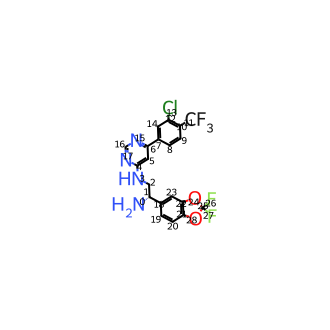 N[C@H](CNc1cc(-c2ccc(C(F)(F)F)c(Cl)c2)ncn1)c1ccc2c(c1)OC(F)(F)O2